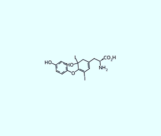 N[C@@H](CC1=CC(I)=C(Oc2ccc(O)cc2)C(O)(I)C1)C(=O)O